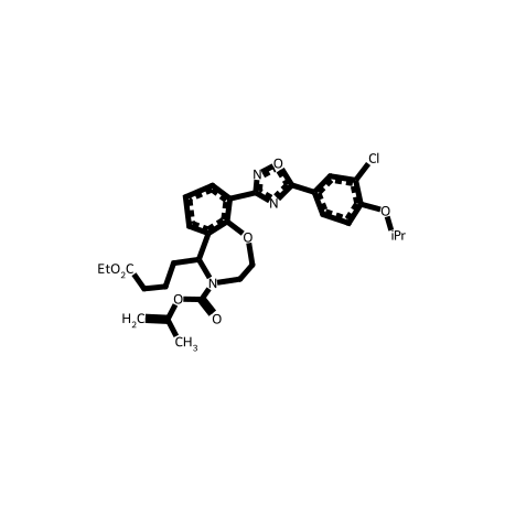 C=C(C)OC(=O)N1CCOc2c(-c3noc(-c4ccc(OC(C)C)c(Cl)c4)n3)cccc2C1CCCC(=O)OCC